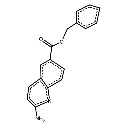 Nc1ccc2cc(C(=O)OCc3ccccc3)ccc2n1